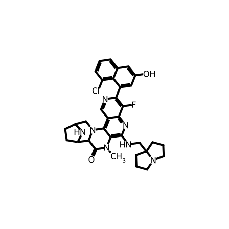 CN1C(=O)C2C3CCC(CN2c2c1c(NCC14CCCN1CCC4)nc1c(F)c(-c4cc(O)cc5cccc(Cl)c45)ncc21)N3